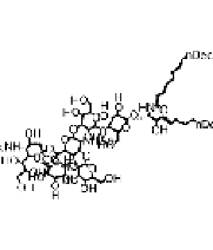 CCCCCCCCCCCCC/C=C/[C@@H](O)[C@H](CO[C@@H]1OC(CO)[C@@H](O[C@@H]2OC(CO)[C@H](O)[C@H](O[C@@H]3OC(CO[C@]4(C(=O)O)CC(O)[C@@H](NC(C)=O)C([C@H](O)[C@H](O)CO)O4)[C@@H](O[C@H]4OC(C)[C@@H](O)C(O)[C@@H]4O)[C@H](O[C@@H]4OC(CO)[C@H](O)[C@H](O)C4O)C3NC(C)=O)C2O)[C@H](O)C1O)NC(=O)CCCCCCCCCCCCCCCCC